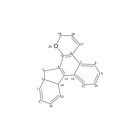 C1=CC2Cc3c4c(c5ccccc5c3C2C=C1)C=CCO4